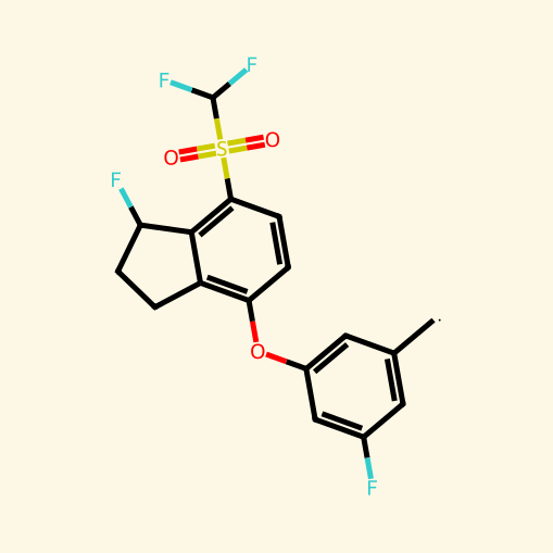 [CH2]c1cc(F)cc(Oc2ccc(S(=O)(=O)C(F)F)c3c2CCC3F)c1